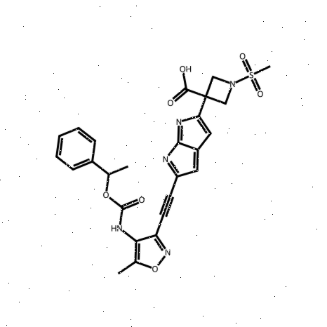 Cc1onc(C#CC2=NC3=NC(C4(C(=O)O)CN(S(C)(=O)=O)C4)=CC3=C2)c1NC(=O)OC(C)c1ccccc1